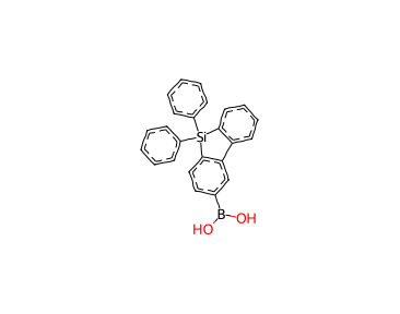 OB(O)c1ccc2c(c1)-c1ccccc1[Si]2(c1ccccc1)c1ccccc1